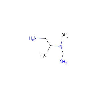 BN(CN)C(C)CN